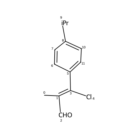 CC(C=O)=C(Cl)c1ccc(C(C)C)cc1